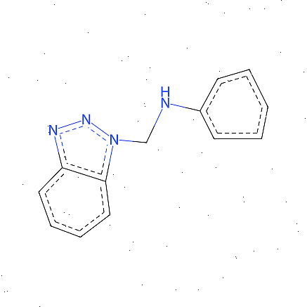 c1ccc(NCn2nnc3ccccc32)cc1